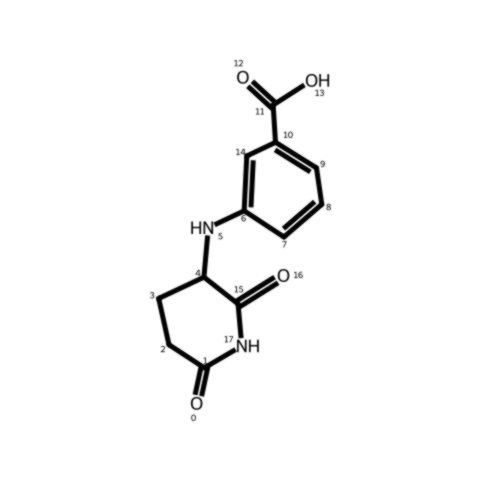 O=C1CCC(Nc2cccc(C(=O)O)c2)C(=O)N1